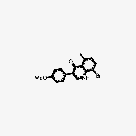 COc1ccc(-c2c[nH]c3c(Br)ccc(C)c3c2=O)cc1